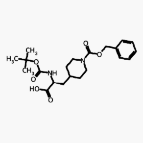 CC(C)(C)OC(=O)N[C@@H](CC1CCN(C(=O)OCc2ccccc2)CC1)C(=O)O